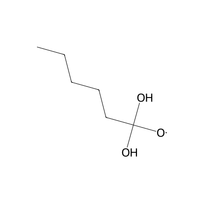 CCCCCC([O])(O)O